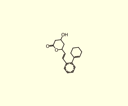 O=C1CC(O)CC(C=Cc2ccccc2C2=CCCCC2)O1